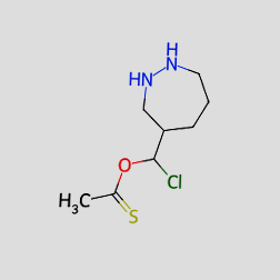 CC(=S)OC(Cl)C1CCCNNC1